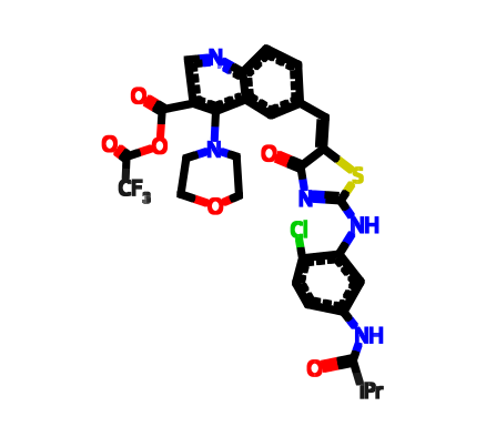 CC(C)C(=O)Nc1ccc(Cl)c(NC2=NC(=O)C(=Cc3ccc4ncc(C(=O)OC(=O)C(F)(F)F)c(N5CCOCC5)c4c3)S2)c1